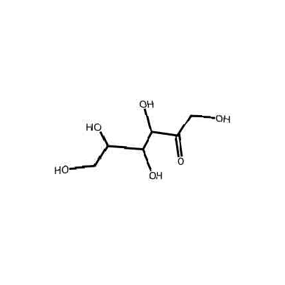 O=C(CO)C(O)C(O)C(O)CO